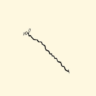 O=C(O)CCCCCCCCCCCCCCCCCCCCCI